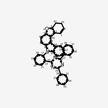 C1=Cc2c(oc3ccc4c(c5ccccc5n4-c4ccccc4-c4nc(-c5ccccc5)nc(-c5ccccc5)n4)c23)CC1